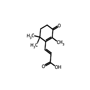 CC1=C(C=CC(=O)O)C(C)(C)CCC1=O